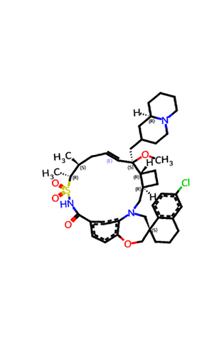 CO[C@]1(CC2CCN3CCCC[C@@H]3C2)/C=C/C[C@H](C)[C@@H](C)S(=O)(=O)NC(=O)c2ccc3c(c2)N(C[C@@H]2CC[C@H]21)C[C@@]1(CCCc2cc(Cl)ccc21)CO3